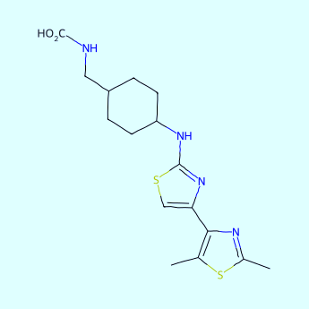 Cc1nc(-c2csc(NC3CCC(CNC(=O)O)CC3)n2)c(C)s1